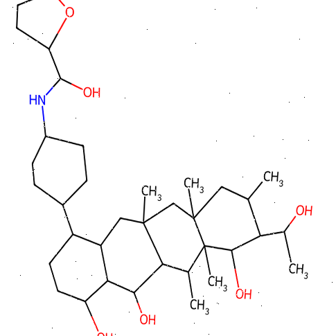 CC(O)C1C(C)CC2(C)CC3(C)CC4C(C5CCC(NC(O)C6CCCO6)CC5)CCC(O)C4C(O)C3C(C)C2(C)C1O